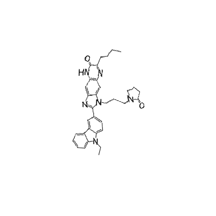 CCCCc1nc2cc3c(cc2[nH]c1=O)nc(-c1ccc2c(c1)c1ccccc1n2CC)n3CCCN1CCCC1=O